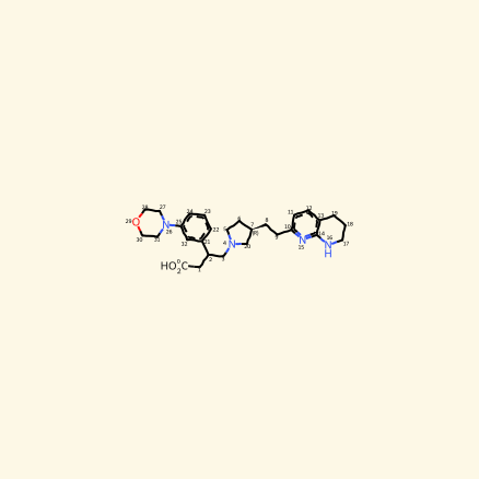 O=C(O)CC(CN1CC[C@@H](CCc2ccc3c(n2)NCCC3)C1)c1cccc(N2CCOCC2)c1